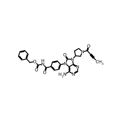 CC#CC(=O)N1CCC(n2c(=O)n(-c3ccc(C(=O)NC(=O)OCc4ccccc4)cc3)c3c(N)ncnc32)C1